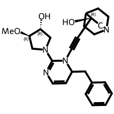 CO[C@@H]1CN(C2=NC=CC(Cc3ccccc3)N2C#C[C@@]2(O)CN3CCC2CC3)C[C@H]1O